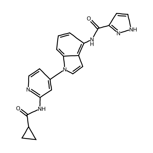 O=C(Nc1cccc2c1ccn2-c1ccnc(NC(=O)C2CC2)c1)c1cc[nH]n1